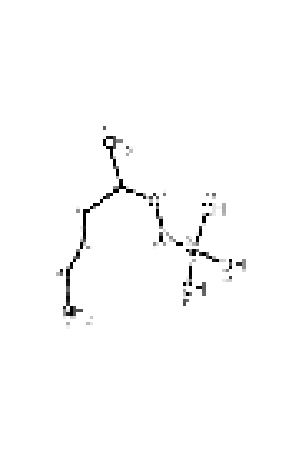 CC(CCCN)OO[Si](O)(O)O